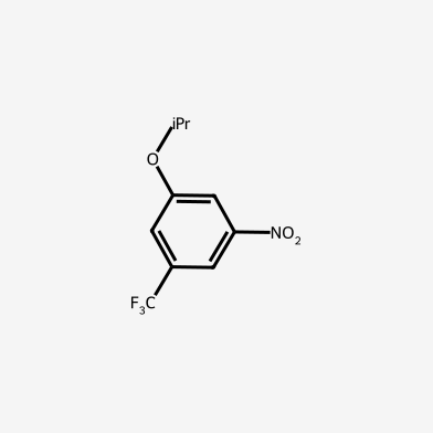 CC(C)Oc1cc([N+](=O)[O-])cc(C(F)(F)F)c1